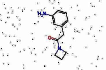 Nc1cccc(CC(=O)N2CCC2)c1